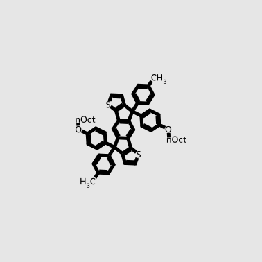 CCCCCCCCOc1ccc(C2(c3ccc(C)cc3)c3cc4c(cc3-c3sccc32)C(c2ccc(C)cc2)(c2ccc(OCCCCCCCC)cc2)c2ccsc2-4)cc1